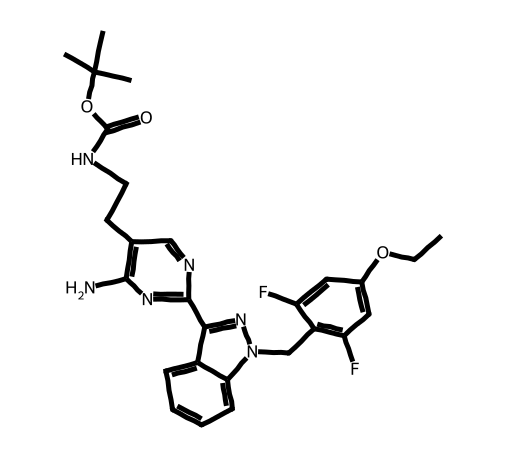 CCOc1cc(F)c(Cn2nc(-c3ncc(CCNC(=O)OC(C)(C)C)c(N)n3)c3ccccc32)c(F)c1